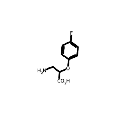 NCC(Oc1ccc(F)cc1)C(=O)O